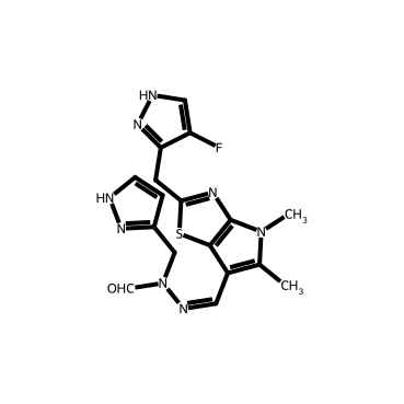 Cc1c(/C=N\N(C=O)Cc2cc[nH]n2)c2sc(Cc3n[nH]cc3F)nc2n1C